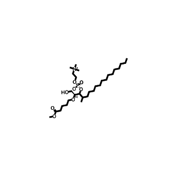 CCCCCCCCCCCCCCC(C)C(OP(=O)([O-])OCC[N+](C)(C)C)[C@H](CO)OCCCCC(=O)OC